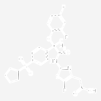 CC(Oc1ccc(F)cc1F)(C(=O)Nc1nc(CC(=O)O)c(F)s1)c1ccc(S(=O)(=O)C2CCCC2)cc1